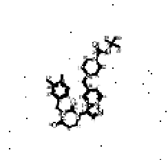 Cc1ccc(CN2C(=O)CCN(c3cnn4ccc(CC5CCN(C(=O)OC(C)(C)C)CC5)cc34)C2=O)cc1C